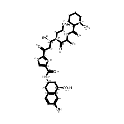 CCC(C)C(NC(=O)C1CCCCN1C)C(=O)N(CCOC)[C@H](CC(=O)c1nc(C(=O)N[C@H]2Cc3ccc(O)cc3[C@H](C(=O)O)C2)cs1)C(C)C